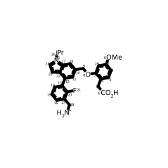 COc1ccc(CC(=O)O)c(OCc2cc(-c3cccc(CN)c3F)c3ccn(C(C)C)c3c2)c1